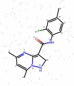 CC1=CC(C)=NC2=C(C(=O)Nc3ccc(C)cc3F)CNN12